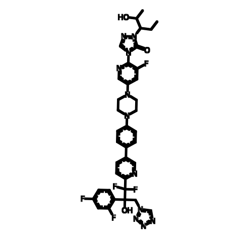 CCC(C(C)O)n1ncn(-c2ncc(N3CCN(c4ccc(-c5ccc(C(F)(F)C(O)(Cn6cnnn6)c6ccc(F)cc6F)nc5)cc4)CC3)cc2F)c1=O